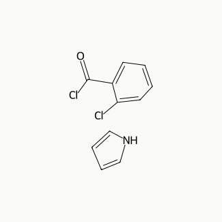 O=C(Cl)c1ccccc1Cl.c1cc[nH]c1